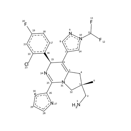 C[C@]1(CN)CC2=C(c3cnn(C(F)F)c3)[C@H](c3ccc(F)cc3Cl)N=C(c3nccs3)N2C1